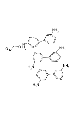 Nc1ccc(-c2cccc(N)c2)cc1.Nc1cccc(-c2cccc(N)c2)c1.Nc1cccc(-c2cccc(N)c2)c1.O=CC=O